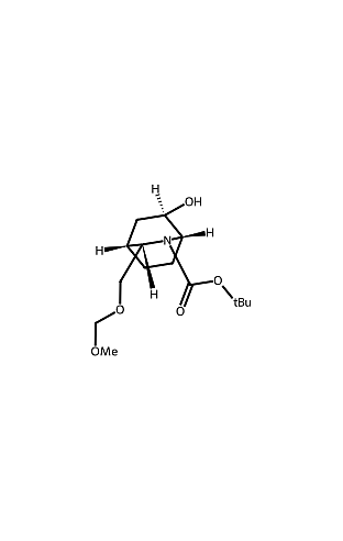 COCOC[C@@H]1[C@@H]2CC[C@@H]([C@H](O)C2)N1C(=O)OC(C)(C)C